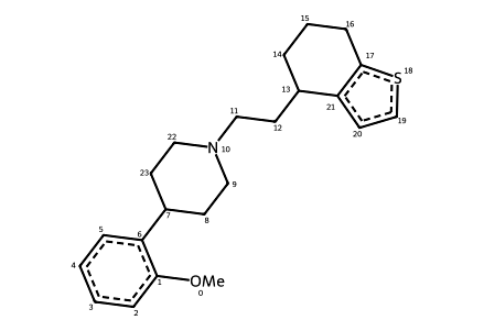 COc1ccccc1C1CCN(CCC2CCCc3sccc32)CC1